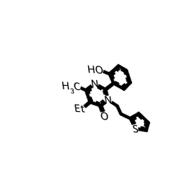 CCc1c(C)nc(-c2ccccc2O)n(CCc2cccs2)c1=O